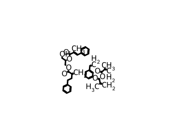 C=C(C)C(=O)OC(=O)C(=C)C.C=C(CCc1ccccc1)C(=O)OCC(CO)OC(=O)C(C)=Cc1ccccc1.C=Cc1ccccc1